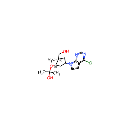 CC(C)(O)O[C@H]1CC(n2ccc3c(Cl)ncnc32)C[C@]1(C)CO